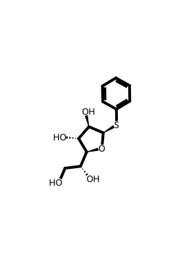 OC[C@@H](O)[C@@H]1O[C@H](Sc2ccccc2)[C@H](O)[C@H]1O